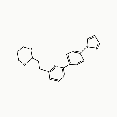 [c]1cc(CCC2OCCCO2)nc(-c2ccc(-n3cccn3)cc2)n1